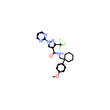 COc1ccc(C2(CNC(=O)c3cn(-c4ncccn4)nc3C(F)(F)F)CCCCC2)cc1